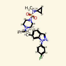 Cc1cc2c(cnn2-c2ccc(F)cc2)cc1[C@H]1CN(S(=O)(=O)N(C)C2CC2)CCN1CC(C)C